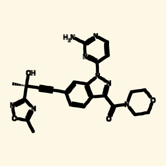 Cc1nc([C@@](C)(O)C#Cc2ccc3c(C(=O)N4CCOCC4)nn(-c4ccnc(N)n4)c3c2)no1